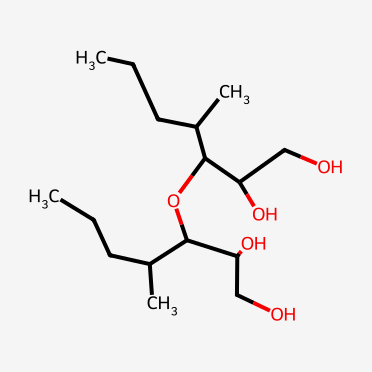 CCCC(C)C(OC(C(C)CCC)C(O)CO)C(O)CO